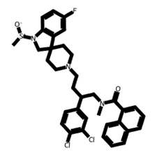 CN(CC(CCN1CCC2(CC1)CN([S+](C)[O-])c1ccc(F)cc12)c1ccc(Cl)c(Cl)c1)C(=O)c1cccc2ccccc12